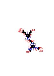 CC(=O)N(CC(O)C(O)CN(C(C)=O)c1c(I)c(C(=O)NCCO)c(I)c(C(=O)NC(CO)CO)c1I)c1c(I)c(C(=O)CCCO)c(I)c(C(=O)CC(CO)CO)c1I